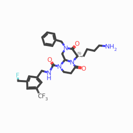 NCCCC[C@H]1C(=O)N(Cc2ccccc2)CC2N(C(=O)NCc3cc(CF)cc(C(F)(F)F)c3)CCC(=O)N21